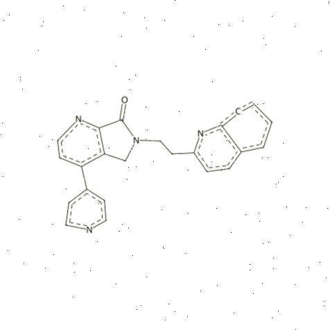 O=C1c2nccc(-c3ccncc3)c2CN1CCc1ccc2ccccc2n1